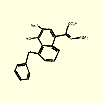 CON=C(C(=O)O)c1cc(OC)c(O)c2c(Cc3ccccc3)cccc12